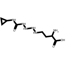 NC(CCNNNNC(=O)NC1CC1)C(=O)O